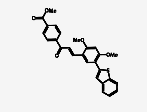 COC(=O)c1ccc(C(=O)C=Cc2cc(-c3cc4ccccc4s3)c(OC)cc2OC)cc1